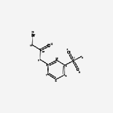 CS(=O)(=O)c1cccc(CC(=O)CBr)c1